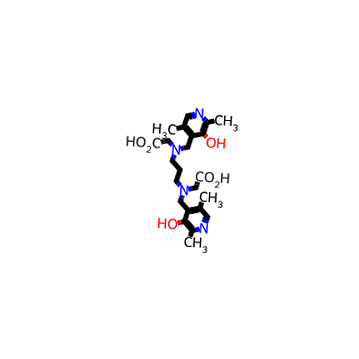 Cc1cnc(C)c(O)c1CN(CCCN(CC(=O)O)Cc1c(C)cnc(C)c1O)CC(=O)O